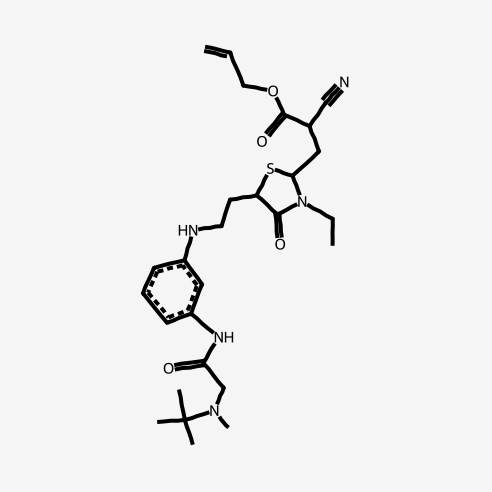 C=CCOC(=O)C(C#N)CC1SC(CCNc2cccc(NC(=O)CN(C)C(C)(C)C)c2)C(=O)N1CC